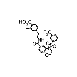 O=C(NCCc1ccc(C(=O)O)c(F)c1)c1ccc2c(c1)N(S(=O)(=O)c1cccc(C(F)(F)F)c1)CCO2